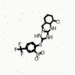 O=[N+]([O-])c1cc(C(F)(F)F)ccc1SC1NC2NC3C(Cl)CCCC3CN2N1